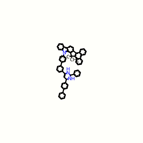 CC1(C)c2c(c3ccccc3c3ccccc23)-c2ccc3c4ccccc4n(-c4ccc(-c5cccc(C6=CC(c7ccc(-c8ccccc8)cc7)NC(c7ccccc7)N6)c5)cc4)c3c21